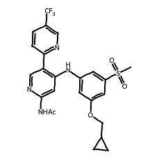 CC(=O)Nc1cc(Nc2cc(OCC3CC3)cc(S(C)(=O)=O)c2)c(-c2ccc(C(F)(F)F)cn2)cn1